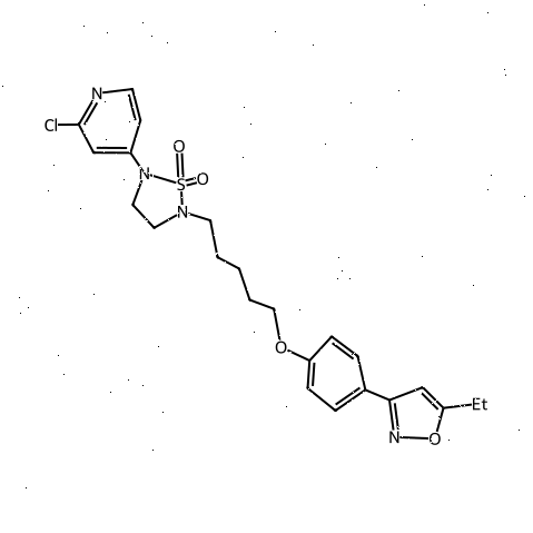 CCc1cc(-c2ccc(OCCCCCN3CCN(c4ccnc(Cl)c4)S3(=O)=O)cc2)no1